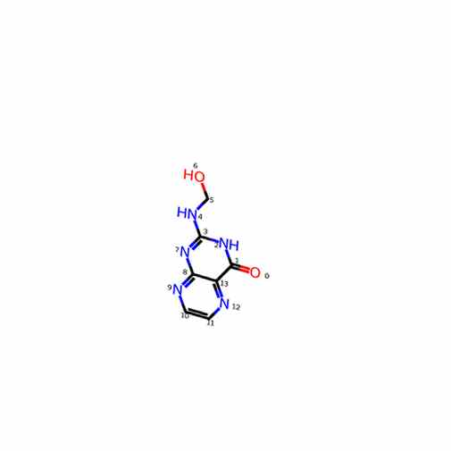 O=c1[nH]c(NCO)nc2nccnc12